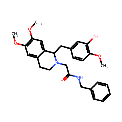 COc1ccc(CC2c3cc(OC)c(OC)cc3CCN2CC(=O)NCc2ccccc2)cc1O